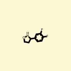 Fc1ccc(C2CCON2)cc1F